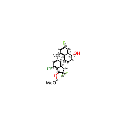 COCO[C@H]1c2c(Cl)ccc([C@H]3CC[C@@H](O)c4cc(F)cc(C#N)c43)c2CC1(F)F